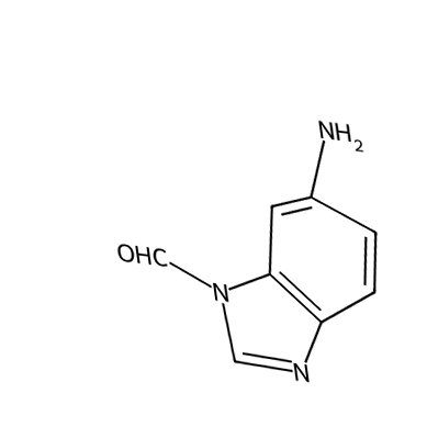 Nc1ccc2ncn(C=O)c2c1